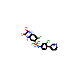 O=c1[nH]c2cc(F)c(S(=O)(=O)Nc3ccc(-c4cccnc4)c(Cl)c3)cc2[nH]c1=O